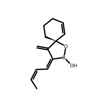 C=C1/C(=C\C=C/C)B(O)O[C@@]12C=CCCC2